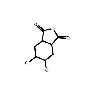 O=C1OC(=O)C2CC(Cl)C(Cl)CC12